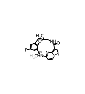 C[C@H]1Nc2ccn3ncc(c3n2)C(=O)NCC2(C)Cc3cc(F)cc1c3O2